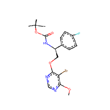 COc1ncnc(OC[C@@H](NC(=O)OC(C)(C)C)c2ccc(F)cc2)c1Br